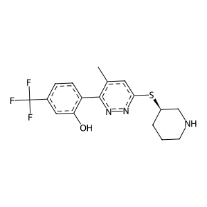 Cc1cc(S[C@@H]2CCCNC2)nnc1-c1ccc(C(F)(F)F)cc1O